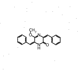 COc1nc(=Cc2ccccc2)c(=O)[nH]c1=Cc1ccccc1